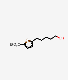 CCOC(=O)c1ccc(CCCCCO)s1